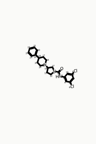 O=C(Nc1cc(Cl)cc(Cl)c1)N1CCC(N2CCC(c3ccccc3)CC2)C1